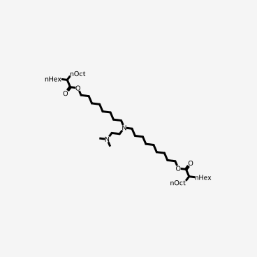 CCCCCCCCC(CCCCCC)C(=O)OCCCCCCCCCN(CCCCCCCCOC(=O)C(CCCCCC)CCCCCCCC)CCN(C)C